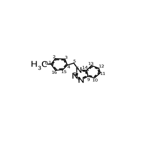 Cc1ccc(Cn2nnc3ccccc32)cc1